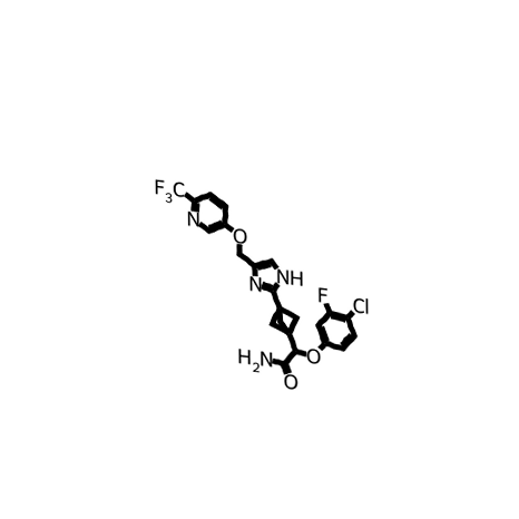 NC(=O)C(Oc1ccc(Cl)c(F)c1)C12CC(c3nc(COc4ccc(C(F)(F)F)nc4)c[nH]3)(C1)C2